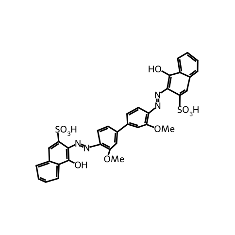 COc1cc(-c2ccc(/N=N/c3c(S(=O)(=O)O)cc4ccccc4c3O)c(OC)c2)ccc1/N=N/c1c(S(=O)(=O)O)cc2ccccc2c1O